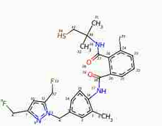 Cc1cc(Cn2nc(CF)cc2CF)ccc1NC(=O)c1cccc(I)c1C(=O)NC(C)(C)CS